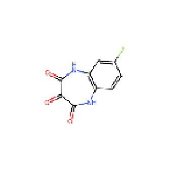 O=c1[nH]c2ccc(F)cc2[nH]c(=O)c1=O